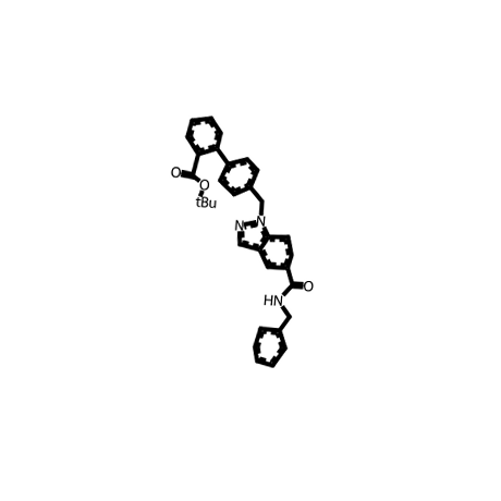 CC(C)(C)OC(=O)c1ccccc1-c1ccc(Cn2ncc3cc(C(=O)NCc4ccccc4)ccc32)cc1